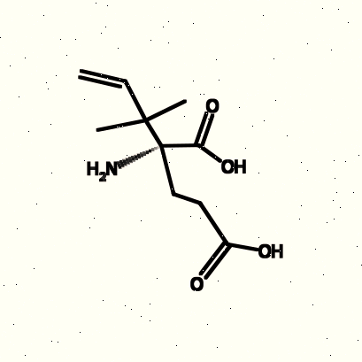 C=CC(C)(C)[C@](N)(CCC(=O)O)C(=O)O